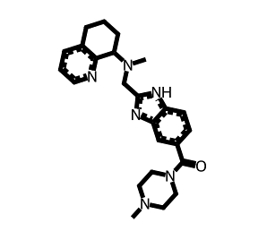 CN1CCN(C(=O)c2ccc3[nH]c(CN(C)C4CCCc5cccnc54)nc3c2)CC1